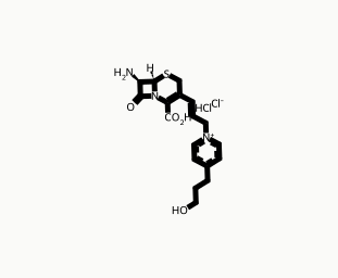 Cl.N[C@@H]1C(=O)N2C(C(=O)O)=C(C=CC[n+]3ccc(CCCO)cc3)CS[C@H]12.[Cl-]